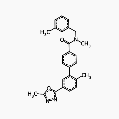 Cc1cccc(CN(C)C(=O)c2ccc(-c3cc(-c4nnc(C)o4)ccc3C)cc2)c1